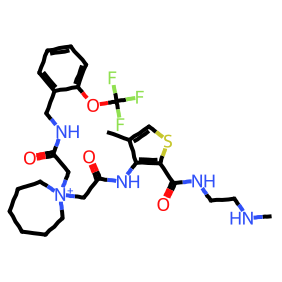 CNCCNC(=O)c1scc(C)c1NC(=O)C[N+]1(CC(=O)NCc2ccccc2OC(F)(F)F)CCCCCC1